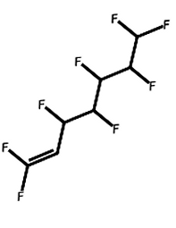 FC(F)=CC(F)C(F)C(F)C(F)C(F)F